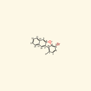 Cc1ccc(Br)c2oc3cc4ccccc4cc3c12